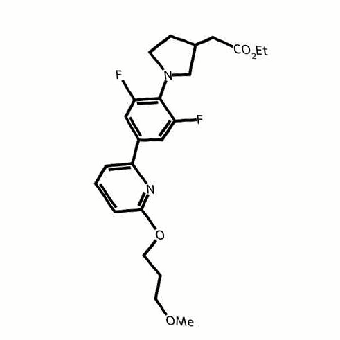 CCOC(=O)CC1CCN(c2c(F)cc(-c3cccc(OCCCOC)n3)cc2F)C1